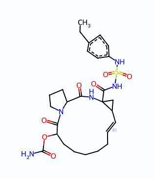 CCc1ccc(NS(=O)(=O)NC(=O)C23CC2/C=C/CCCCCC(OC(N)=O)C(=O)N2CCCC2C(=O)N3)cc1